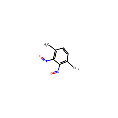 Cc1ccc(C)c(N=O)c1N=O